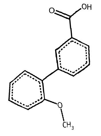 COc1ccccc1-c1cccc(C(=O)O)c1